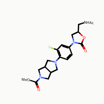 COC(=O)N1CC2CN(c3ccc(N4CC(CNC(C)=O)OC4=O)cc3F)CC2C1